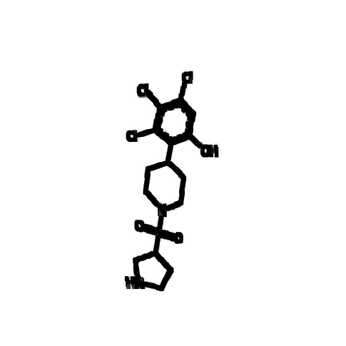 O=S(=O)(C1CCNC1)N1CCC(c2c(O)cc(Cl)c(Cl)c2Cl)CC1